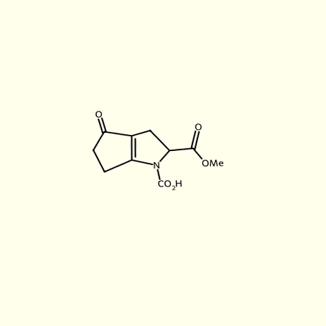 COC(=O)C1CC2=C(CCC2=O)N1C(=O)O